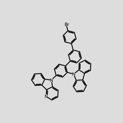 Brc1ccc(-c2cccc(-c3ccc(-n4c5ccccc5c5ncccc54)cc3-n3c4ccccc4c4ccccc43)c2)cc1